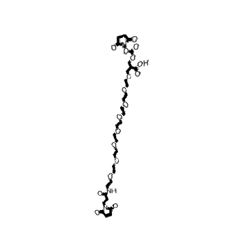 O=C(CCN1C(=O)C=CC1=O)NCCOCCOCCOCCOCCOCCOCCOCCOCC(COC(=O)ON1C(=O)CCC1=O)C(=O)O